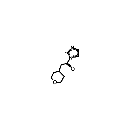 O=C(CC1CCOCC1)n1[c]ncc1